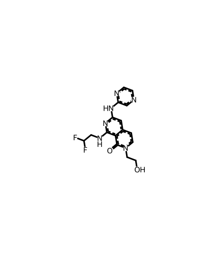 O=c1c2c(NCC(F)F)nc(Nc3cnccn3)cc2ccn1CCO